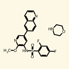 C1COCCN1.COc1ncc(-c2ccc3ncccc3c2)cc1NS(=O)(=O)c1ccc(F)cc1F